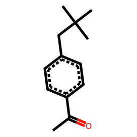 CC(=O)c1ccc(CC(C)(C)C)cc1